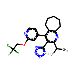 CC(C)c1nc2c(c(-c3ccnc(OCC(F)(F)F)c3)c1-c1nnn[nH]1)CCCCC2